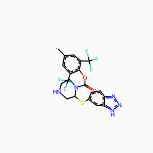 [CH2]c1cc(C(F)(F)F)c(OC(=O)N2CCNCC2Sc2ccc3nn[nH]c3c2)c(C(F)(F)F)c1